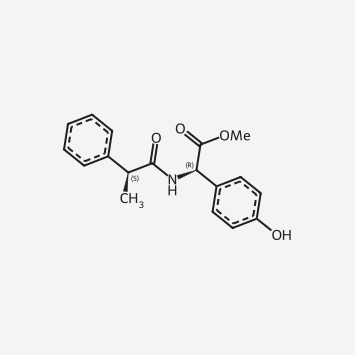 COC(=O)[C@H](NC(=O)[C@@H](C)c1ccccc1)c1ccc(O)cc1